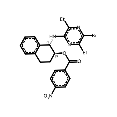 CCc1nc(N[C@H]2c3ccccc3CC[C@@H]2OC(=O)c2ccc([N+](=O)[O-])cc2)c(CC)nc1Br